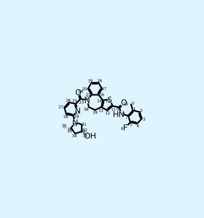 Cc1cccc(F)c1NC(=O)c1cc2c(s1)-c1ccccc1N(C(=O)c1cccc(N3C[C@H](O)C[C@@H]3C)n1)CC2